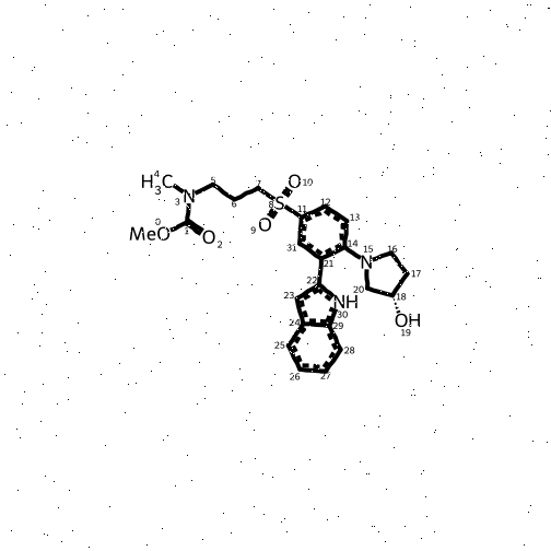 COC(=O)N(C)CCCS(=O)(=O)c1ccc(N2CC[C@H](O)C2)c(-c2cc3ccccc3[nH]2)c1